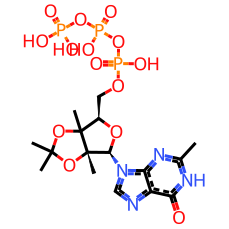 Cc1nc2c(ncn2[C@@H]2O[C@H](COP(=O)(O)OP(=O)(O)OP(=O)(O)O)C3(C)OC(C)(C)O[C@@]23C)c(=O)[nH]1